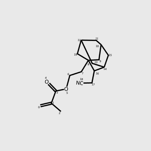 C=C(C)C(=O)OCCC12CC3CC(CC(C3)C1CC#N)C2